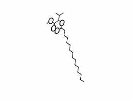 CCCCCCCCCCCCCCCC(=O)OC(C(=O)OC)C(C)C